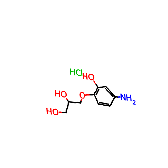 Cl.Nc1ccc(OCC(O)CO)c(O)c1